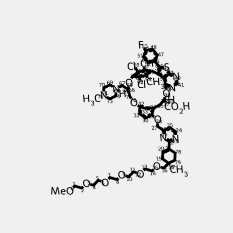 COCCOCCOCCOCCOCCOC[C@@]1(C)CC=C(c2nccc(COc3ccc4cc3C[C@H](C(=O)O)Oc3ncnc5sc(-c6ccc(F)cc6)c(c35)-c3c(C)c(Cl)c(c(Cl)c3C)O[C@H](CN3CCN(C)CC3)CO4)n2)CC1